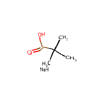 CC(C)(C)S(=O)O.[NaH]